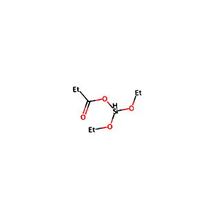 CCO[SiH](OCC)OC(=O)CC